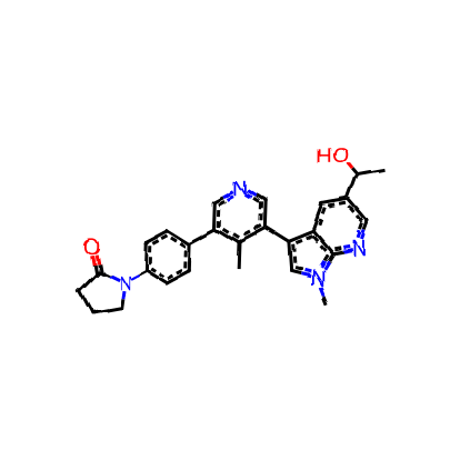 Cc1c(-c2ccc(N3CCCC3=O)cc2)cncc1-c1cn(C)c2ncc(C(C)O)cc12